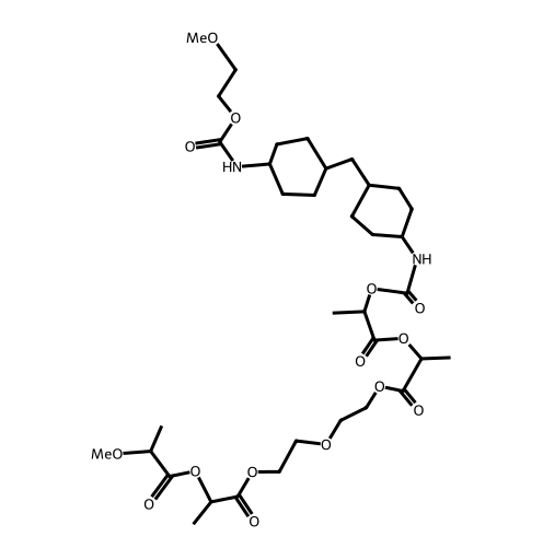 COCCOC(=O)NC1CCC(CC2CCC(NC(=O)OC(C)C(=O)OC(C)C(=O)OCCOCCOC(=O)C(C)OC(=O)C(C)OC)CC2)CC1